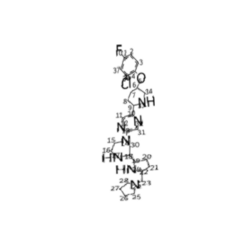 Fc1ccc(OC2CCC(c3cnc(N4CCNC(C5CCC(CN6CCCC6)N5)C4)cn3)NC2)c(Cl)c1